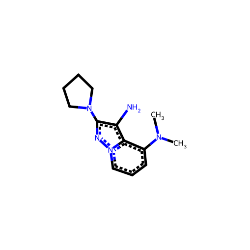 CN(C)c1cccn2nc(N3CCCC3)c(N)c12